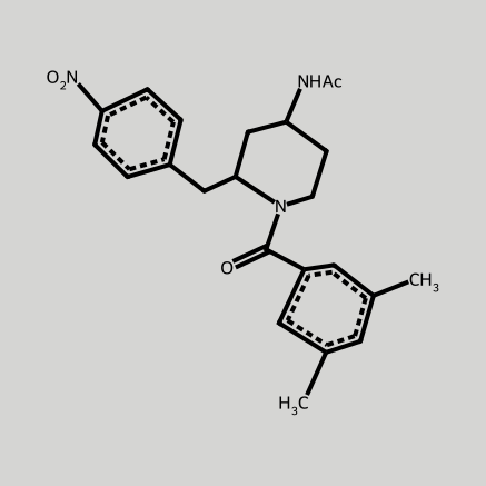 CC(=O)NC1CCN(C(=O)c2cc(C)cc(C)c2)C(Cc2ccc([N+](=O)[O-])cc2)C1